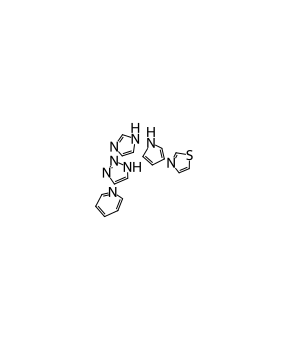 c1c[nH]cn1.c1c[nH]nn1.c1cc[nH]c1.c1ccncc1.c1cscn1